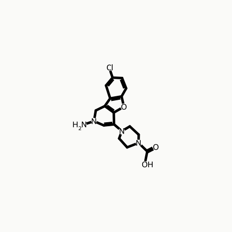 NN1C=C(N2CCN(C(=O)O)CC2)c2oc3ccc(Cl)cc3c2C1